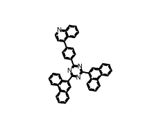 c1ccc2c(c1)cc(-c1nc(-c3ccc(-c4ccnc5ccccc45)cc3)nc(-c3cc4ccccc4c4ccccc34)n1)c1ccccc12